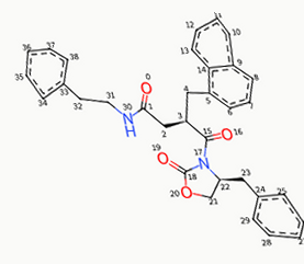 O=C(C[C@@H](Cc1cccc2ccccc12)C(=O)N1C(=O)OC[C@@H]1Cc1ccccc1)NCCc1ccccc1